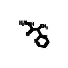 CC(C(=O)NN)c1ncccn1